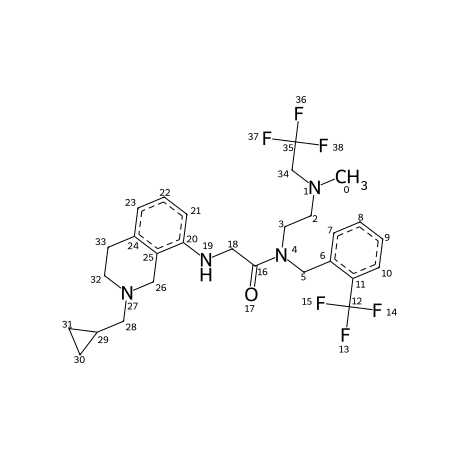 CN(CCN(Cc1ccccc1C(F)(F)F)C(=O)CNc1cccc2c1CN(CC1CC1)CC2)CC(F)(F)F